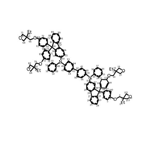 CCC1(COc2ccc(C3(C4=CCC(OCC5(CC)COC5)C=C4)c4ccccc4-c4ccc(N(c5ccccc5)c5ccc(-c6ccc(N(c7ccccc7)c7ccc8c(c7)C(c7ccc(OCC9(CC)COC9)cc7)(c7ccc(OCC9(CC)COC9)cc7)c7ccccc7-8)cc6)cc5)cc43)cc2)COC1